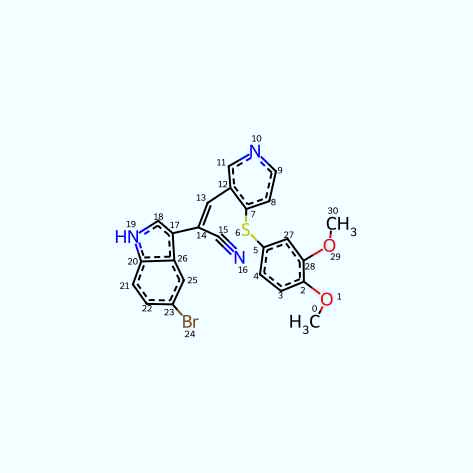 COc1ccc(Sc2ccncc2C=C(C#N)c2c[nH]c3ccc(Br)cc23)cc1OC